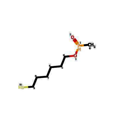 C[PH](=O)OCCCCCCS